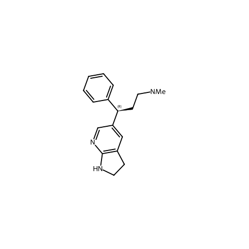 CNCC[C@H](c1ccccc1)c1cnc2c(c1)CCN2